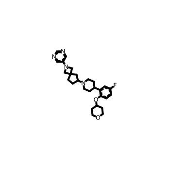 Fc1ccc(OC2CCOCC2)c(C2CCN(C3CCC4(C3)CN(c3cncnc3)C4)CC2)c1